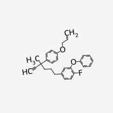 C#CC(C)(CCCc1ccc(F)c(Oc2ccccc2)c1)c1ccc(OCC=C)cc1